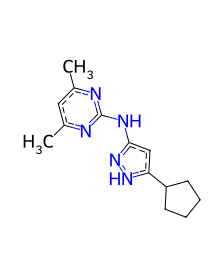 Cc1cc(C)nc(Nc2cc(C3CCCC3)[nH]n2)n1